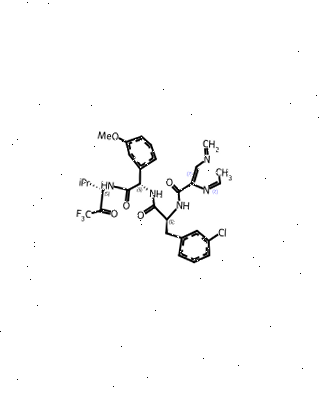 C=N/C=C(\N=C/C)C(=O)N[C@@H](Cc1cccc(Cl)c1)C(=O)N[C@H](C(=O)N[C@H](C(=O)C(F)(F)F)C(C)C)c1cccc(OC)c1